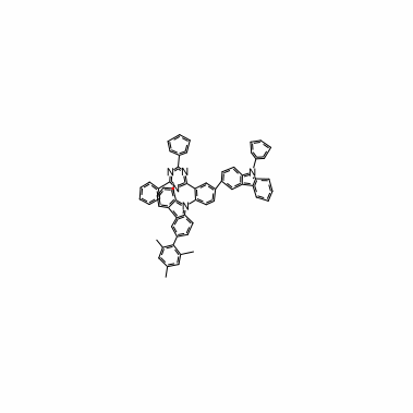 Cc1cc(C)c(-c2ccc3c(c2)c2ccccc2n3-c2ccc(-c3ccc4c(c3)c3ccccc3n4-c3ccccc3)cc2-c2nc(-c3ccccc3)nc(-c3ccccc3)n2)c(C)c1